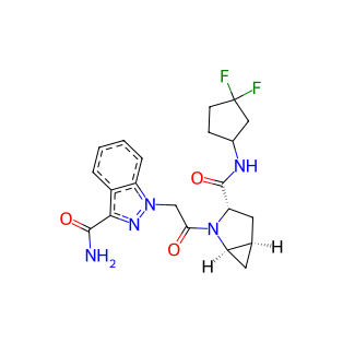 NC(=O)c1nn(CC(=O)N2[C@@H]3C[C@@H]3C[C@H]2C(=O)NC2CCC(F)(F)C2)c2ccccc12